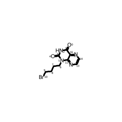 O=c1[nH]c(=O)n(CCCCBr)c2nccnc12